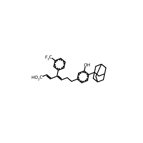 O=C(O)C=CC(=CCCc1ccc(C23CC4CC(CC(C4)C2)C3)c(O)c1)c1cccc(C(F)(F)F)c1